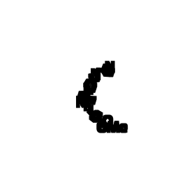 COC(=O)c1ccc(Cn2ccc3c(N4CCC5(CC4)CN(Cc4cccnc4)C5)ccnc32)cc1